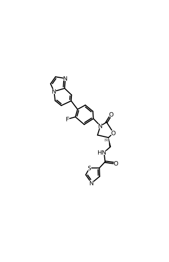 O=C(NC[C@H]1CN(c2ccc(-c3ccn4ccnc4c3)c(F)c2)C(=O)O1)c1cncs1